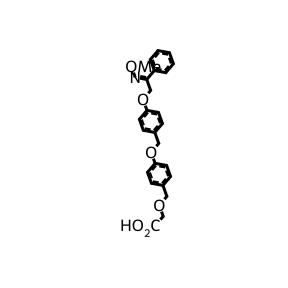 CON=C(COc1ccc(COc2ccc(COCC(=O)O)cc2)cc1)c1ccccc1